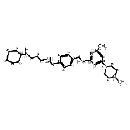 Cc1cc(N2CCN(C)CC2)nc(NCc2ccc(CNCCCNC3CCCCC3)cc2)n1